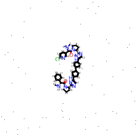 CN(C)C(C(=O)N1CCC[C@H]1c1ncc(-c2ccc(-c3ccc(-c4cnc([C@@H]5CCCN5C(=O)[C@@H](c5ccccc5)N(C)C)[nH]4)cc3)cc2)[nH]1)c1ccc(Cl)nc1